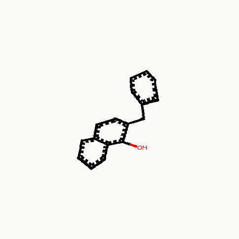 Oc1c(Cc2ccccc2)ccc2ccccc12